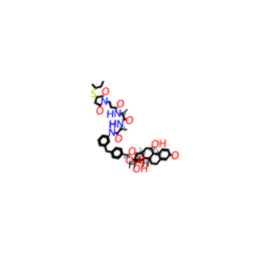 CCC(C)SC1CC(=O)N(CCC(=O)N[C@@H](C)C(=O)N[C@@H](C)C(=O)Nc2cccc(Cc3ccc([C@@H]4O[C@@H]5CC6[C@@H]7CCC8=CC(=O)C=C[C@]8(C)C7[C@@H](O)C[C@]6(C)[C@]5(C(=O)CO)O4)cc3)c2)C1=O